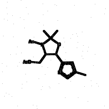 CC(=O)OCC1C(c2cc(C)cs2)OC(C)(C)N1C(C)=O